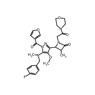 COc1c(C2C(C)C(=O)N2CC(=O)N2CCOCC2)nn(C(=O)c2ccoc2)c1N(C)Cc1ccc(F)cc1